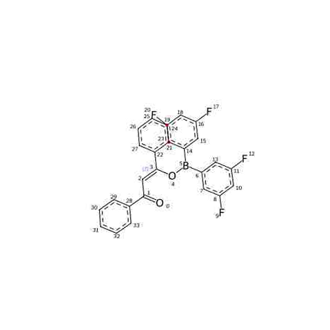 O=C(/C=C(\OB(c1cc(F)cc(F)c1)c1cc(F)cc(F)c1)c1ccccc1)c1ccccc1